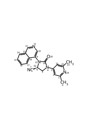 Cc1cc(N2C[C@@H](C#N)N(c3cncc4ccccc34)C2=O)cc(C)n1